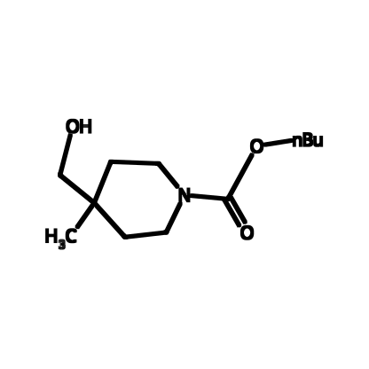 CCCCOC(=O)N1CCC(C)(CO)CC1